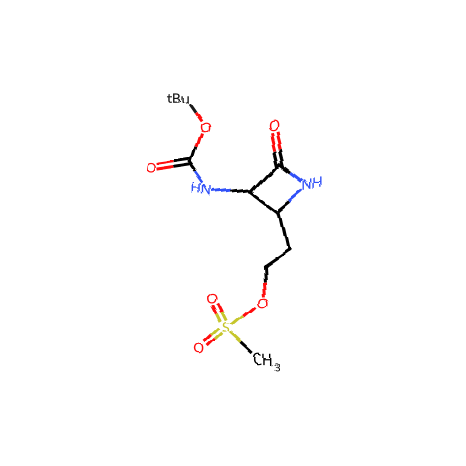 CC(C)(C)OC(=O)NC1C(=O)NC1CCOS(C)(=O)=O